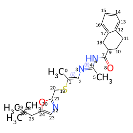 C/C(=C\N=C(/C)NC(=O)C1CCc2ccccc2C1)SCc1ncc(CC(C)(C)C)o1